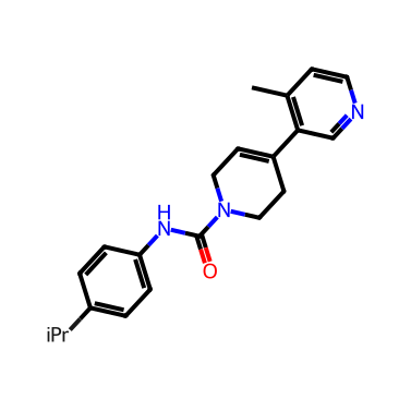 Cc1ccncc1C1=CCN(C(=O)Nc2ccc(C(C)C)cc2)CC1